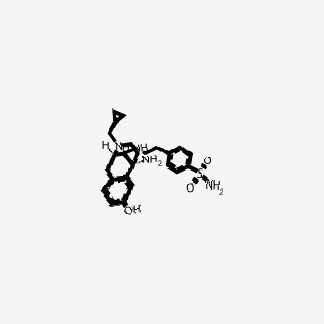 N[C@]12CCN(CC3CC3)[C@H](Cc3ccc(O)cc31)[C@H]2NCCc1ccc(S(N)(=O)=O)cc1